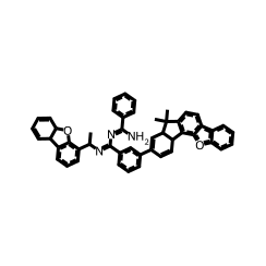 CC(/N=C(\N=C(/N)c1ccccc1)c1cccc(C2=CC3C(C=C2)c2c(ccc4c2oc2ccccc24)C3(C)C)c1)c1cccc2c1OC1C=CC=CC21